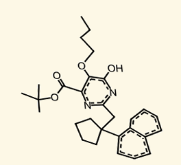 CCCCOc1c(O)nc(CC2(c3cccc4ccccc34)CCCC2)nc1C(=O)OC(C)(C)C